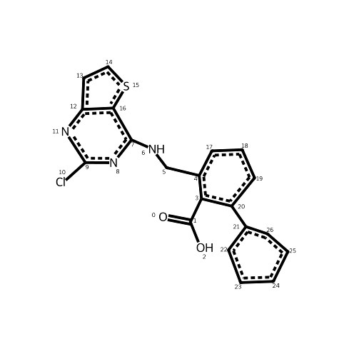 O=C(O)c1c(CNc2nc(Cl)nc3ccsc23)cccc1-c1ccccc1